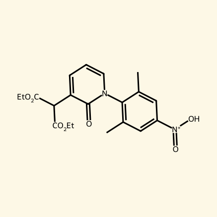 CCOC(=O)C(C(=O)OCC)c1cccn(-c2c(C)cc([N+](=O)O)cc2C)c1=O